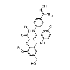 CC(C)OC(=O)COc1c(CNc2ccc(Cl)cc2C(=O)Nc2ccc(/C(N)=N/O)cc2)cc(CO)cc1OC(C)C